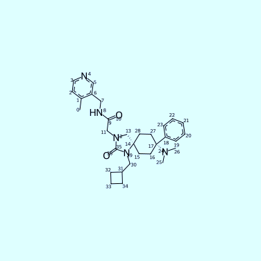 Cc1ccncc1CNC(=O)CN1C[C@]2(CC[C@@](c3ccccc3)(N(C)C)CC2)N(CC2CCC2)C1=O